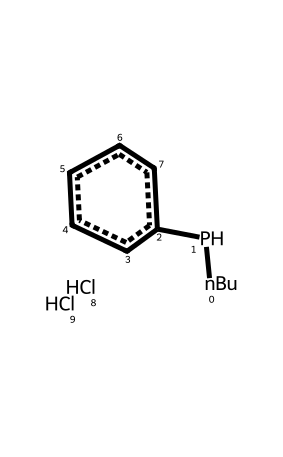 CCCCPc1ccccc1.Cl.Cl